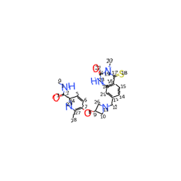 CNC(=O)c1ccc(OC2CN(Cc3ccc4c(=S)n(C)c(=O)[nH]c4c3)C2)c(C)n1